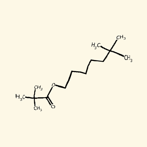 CC(C)(C)CCCCCOC(=O)C(C)(C)C